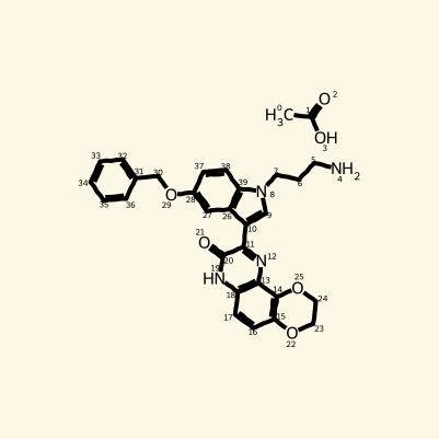 CC(=O)O.NCCCn1cc(-c2nc3c4c(ccc3[nH]c2=O)OCCO4)c2cc(OCc3ccccc3)ccc21